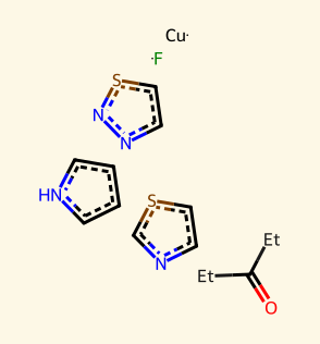 CCC(=O)CC.[Cu].[F].c1cc[nH]c1.c1cscn1.c1csnn1